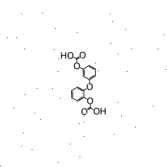 O=C(O)Oc1cccc(Oc2ccccc2OC(=O)O)c1